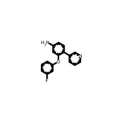 Nc1ccc(-c2cccnc2)c(Oc2cccc(F)c2)c1